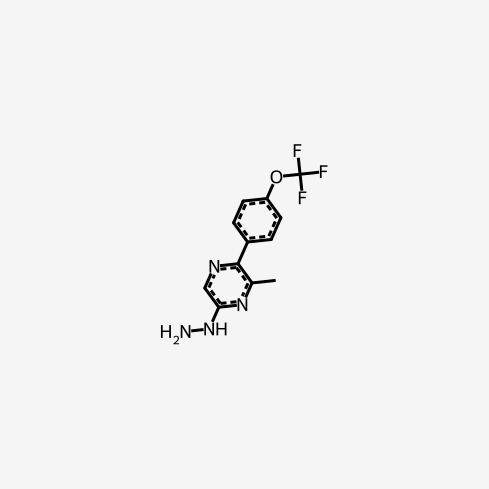 Cc1nc(NN)cnc1-c1ccc(OC(F)(F)F)cc1